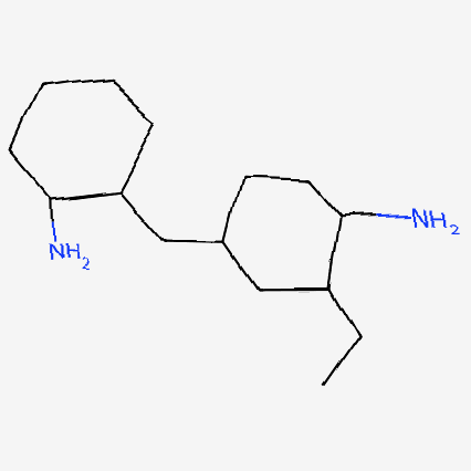 CCC1CC(CC2CCCCC2N)CCC1N